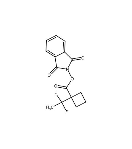 CC(F)(F)C1(C(=O)ON2C(=O)c3ccccc3C2=O)CCC1